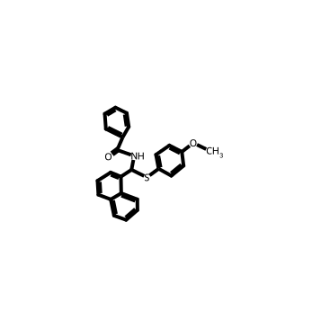 COc1ccc(SC(NC(=O)c2ccccc2)c2cccc3ccccc23)cc1